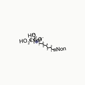 CCCCCCCCCCCCCCCC/[P+]([O-])=N/C(CO)C(=O)O